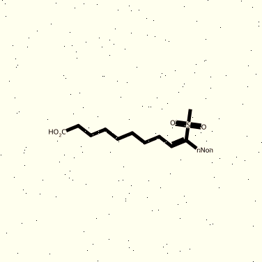 CCCCCCCCC/C(=C/CCCCCCCC(=O)O)S(C)(=O)=O